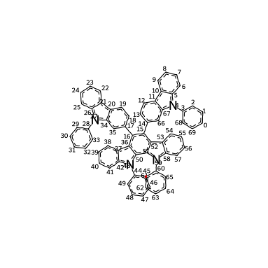 c1ccc(-n2c3ccccc3c3ccc(-c4c(-c5ccc6c7ccccc7n(-c7ccccc7)c6c5)c5c6ccccc6n(-c6ccccc6)c5c5c4c4ccccc4n5-c4ccccc4)cc32)cc1